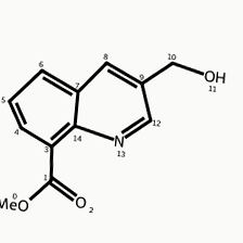 COC(=O)c1cccc2cc(CO)cnc12